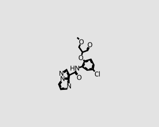 COCC(C=O)Oc1ccc(Cl)cc1NC(=O)c1cnn2cccnc12